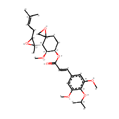 COc1cc(/C=C/C(=O)O[C@@H]2CCC3(CO3)[C@@H](C3(C)OC3CC=C(C)C)[C@@H]2OC)cc(OC)c1OC(C)C